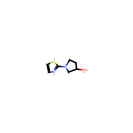 OC1CCN(c2nccs2)C1